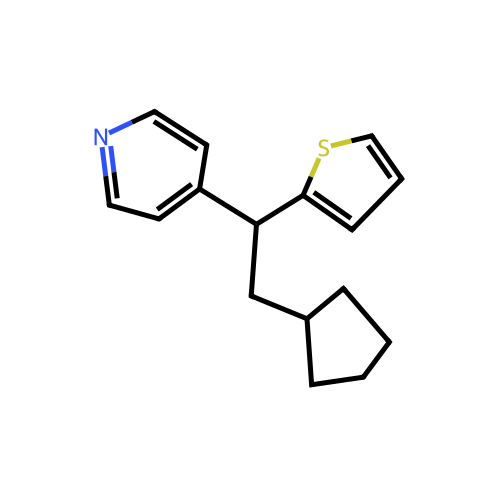 c1csc(C(CC2CCCC2)c2ccncc2)c1